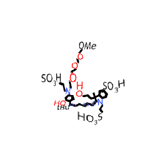 COCCOCCOCCOCCN(CCCS(=O)(=O)O)c1ccc(/C(=C\C/C=C/C=C2/N(CCCS(=O)(=O)O)c3ccc(S(=O)(=O)O)cc3C2(C)CCCO)C(C)(C)C)c(O)c1